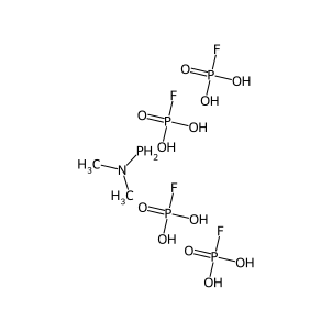 CN(C)P.O=P(O)(O)F.O=P(O)(O)F.O=P(O)(O)F.O=P(O)(O)F